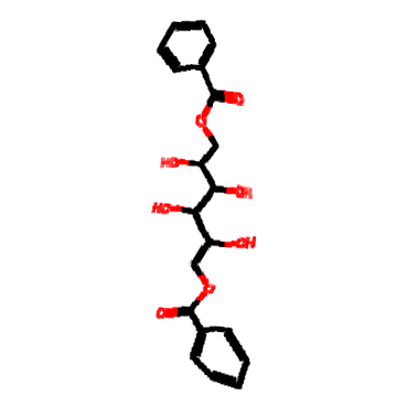 O=C(OCC(O)C(O)C(O)C(O)COC(=O)c1ccccc1)c1ccccc1